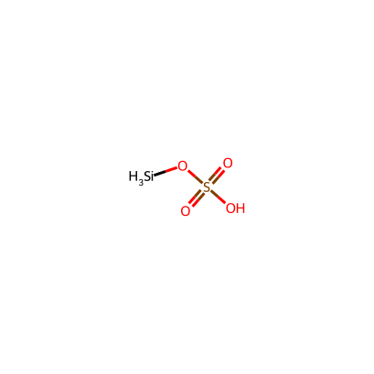 O=S(=O)(O)O[SiH3]